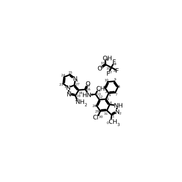 Cc1n[nH]c2c(-c3ccccc3)c(C(C)NC(=O)c3c(N)nn4cccnc34)cc(Cl)c12.O=C(O)C(F)(F)F